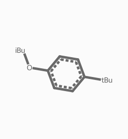 [CH2]C(CC)Oc1ccc(C(C)(C)C)cc1